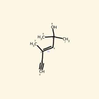 C#C/C(C)=C/C(C)(C)O